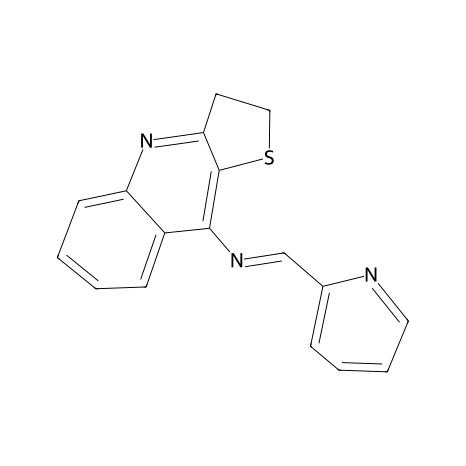 C(=N\c1c2c(nc3ccccc13)CCS2)/c1ccccn1